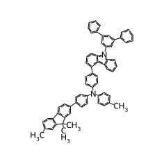 Cc1ccc(N(c2ccc(-c3ccc4c(c3)C(C)(C)c3cc(C)ccc3-4)cc2)c2ccc(-c3cccc4c3c3ccccc3n4-c3cc(-c4ccccc4)cc(-c4ccccc4)c3)cc2)cc1